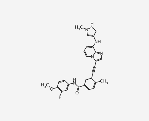 COc1ccc(NC(=O)C2=CC=C(C)C(C#Cc3cnc4c(NC5=CN(C)NC5)cccn34)C2)cc1F